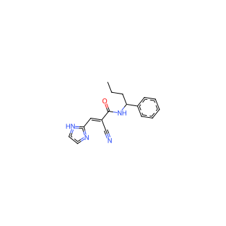 CCCC(NC(=O)C(C#N)=Cc1ncc[nH]1)c1ccccc1